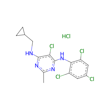 Cc1nc(NCC2CC2)c(Cl)c(Nc2c(Cl)cc(Cl)cc2Cl)n1.Cl